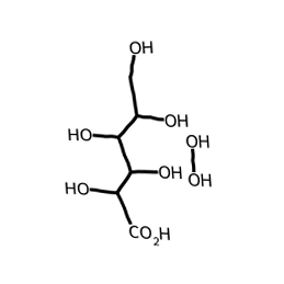 O=C(O)C(O)C(O)C(O)C(O)CO.OO